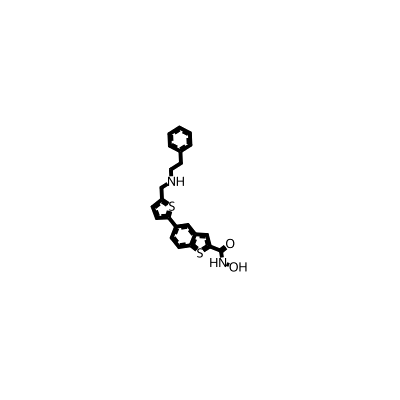 O=C(NO)c1cc2cc(-c3ccc(CNCCc4ccccc4)s3)ccc2s1